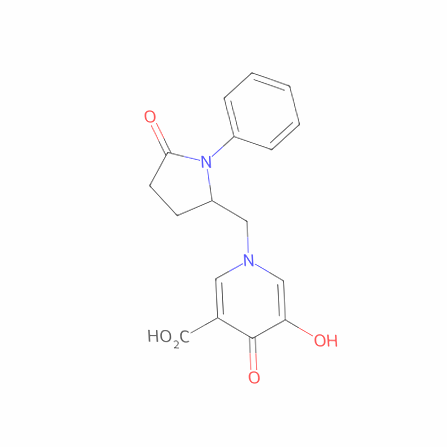 O=C(O)c1cn(CC2CCC(=O)N2c2ccccc2)cc(O)c1=O